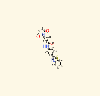 O=C1CCC(=O)N1[C@H]1C[C@H](C(=O)Nc2ccc(-c3nc4ccccc4s3)cc2)C1